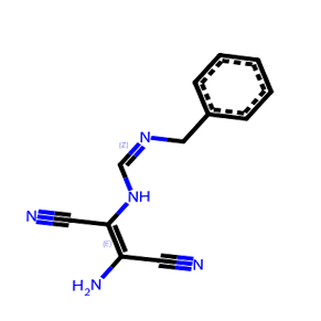 N#C/C(N)=C(/C#N)N/C=N\Cc1ccccc1